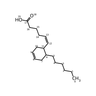 CCCCCCC1CC=CCC1/C=C\CCCC(=O)O